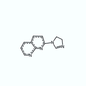 C1=NCCN1c1ccc2cccnc2n1